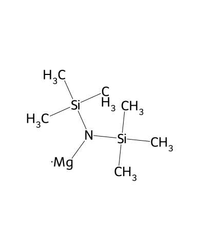 C[Si](C)(C)[N]([Mg])[Si](C)(C)C